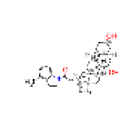 Cc1cccc2c1CCN2C(=O)CC[C@@H](C)[C@H]1CC[C@H]2[C@@H]3[C@@H](O)C[C@@H]4C[C@H](O)CC[C@]4(C)[C@H]3CC[C@]12C